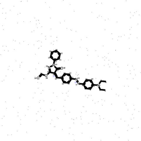 CCN(CC)c1ccc(/N=N/c2ccc(/C=C3\C(=O)N(c4ccccc4)N=C3OC=O)cc2)cc1